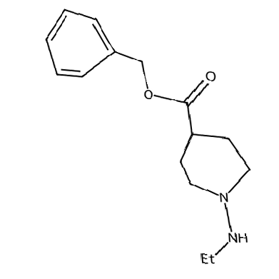 CCNN1CCC(C(=O)OCc2ccccc2)CC1